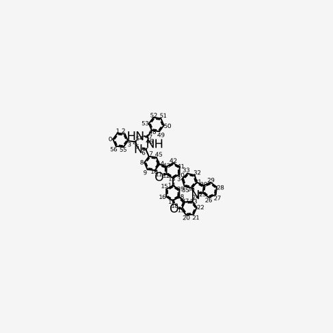 c1ccc(C2N=C(c3ccc4oc5c(-c6ccc7oc8cccc(-n9c%10ccccc%10c%10ccccc%109)c8c7c6)cccc5c4c3)NC(c3ccccc3)N2)cc1